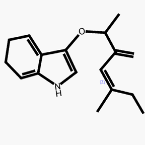 C=C(/C=C(/C)CC)C(C)Oc1c[nH]c2c1=CCCC=2